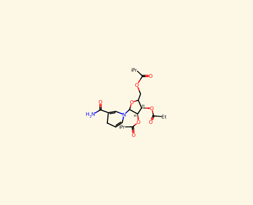 CCC(=O)O[C@@H]1C(COC(=O)C(C)C)OC(N2C=CCC(C(N)=O)=C2)[C@@H]1OC(=O)C(C)C